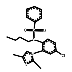 CCCCN(c1ccc(Cl)cc1-n1cc(C)nc1C)S(=O)(=O)c1ccccc1